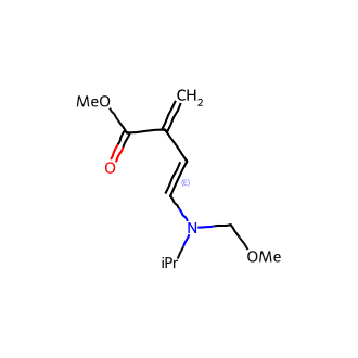 C=C(/C=C/N(COC)C(C)C)C(=O)OC